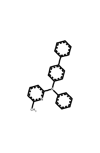 Cc1cccc(N(c2ccccc2)c2ccc(-c3ccccc3)cc2)n1